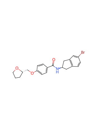 O=C(N[C@@H]1Cc2ccc(Br)cc2C1)c1ccc(OC[C@@H]2CCCO2)cc1